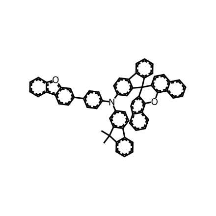 CC1(C)c2ccccc2-c2ccc(N(c3ccc(-c4ccc5c(c4)oc4ccccc45)cc3)c3ccc4c(c3)C3(c5ccccc5-4)c4ccc5ccccc5c4Oc4c3ccc3ccccc43)cc21